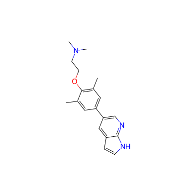 Cc1cc(-c2cnc3[nH]ccc3c2)cc(C)c1OCCN(C)C